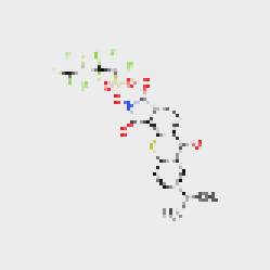 CC(C)c1ccc2sc3c4c(ccc3c(=O)c2c1)C(=O)N(OS(=O)(=O)C(F)(F)C(F)(F)C(F)(F)C(F)(F)F)C4=O